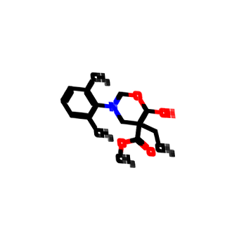 CCC1(C(=O)OC)CN(c2c(C)cccc2C)COC1O